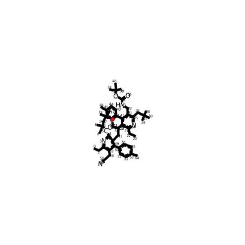 CCc1nc(CC(C)(C)C)c(CC(C(=O)OC(C)(C)C)c2c(CC)nc(CC(C)(C)C)c(CNC(=O)OC(C)(C)C)c2-c2ccc(C)cc2)c(-c2ccc(C)cc2)c1CC#N